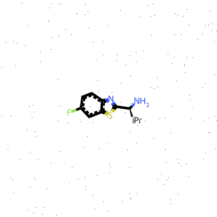 CC(C)[C@H](N)c1nc2ccc(F)cc2s1